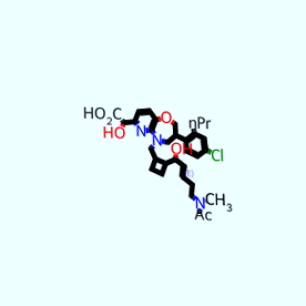 CCCc1cc(Cl)ccc1C1COc2ccc(C(O)C(=O)O)nc2N(CC2CCC2C(O)/C=C/CCN(C)C(C)=O)C1